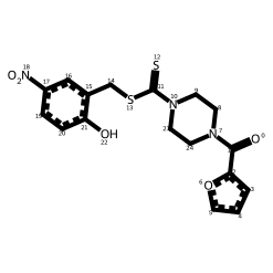 O=C(c1ccco1)N1CCN(C(=S)SCc2cc([N+](=O)[O-])ccc2O)CC1